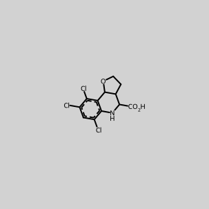 O=C(O)C1Nc2c(Cl)cc(Cl)c(Cl)c2C2OCCC12